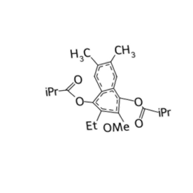 CCc1c(OC)c(OC(=O)C(C)C)c2cc(C)c(C)cc2c1OC(=O)C(C)C